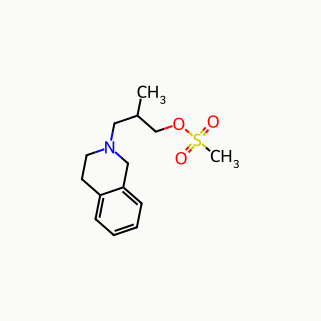 CC(COS(C)(=O)=O)CN1CCc2ccccc2C1